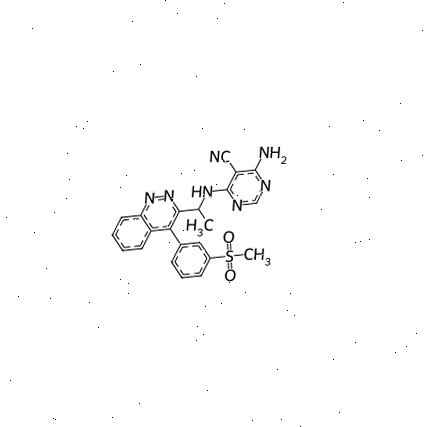 CC(Nc1ncnc(N)c1C#N)c1nnc2ccccc2c1-c1cccc(S(C)(=O)=O)c1